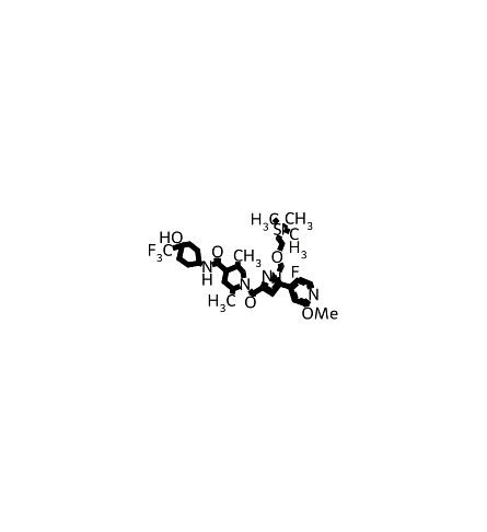 COc1cc(-c2cc(C(=O)N3CC(C)C(C(=O)NC4CCC(O)(C(F)(F)F)CC4)CC3C)nn2COCC[Si](C)(C)C)c(F)cn1